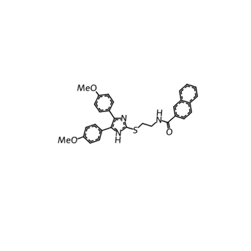 COc1ccc(-c2nc(SCCNC(=O)c3ccc4ccccc4c3)[nH]c2-c2ccc(OC)cc2)cc1